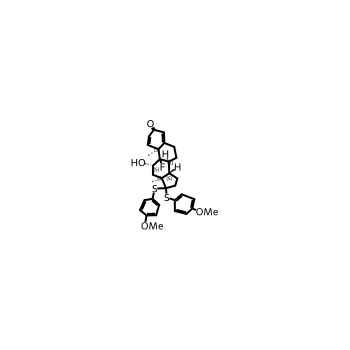 COc1ccc(SC2(Sc3ccc(OC)cc3)CC[C@H]3[C@@H]4CCC5=CC(=O)C=C[C@]5(C)C4(F)[C@@H](O)C[C@@]32C)cc1